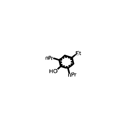 CCCc1cc(CC)cc(CCC)c1O